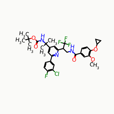 COc1cc(C(=O)NCC(c2cc(C(C)(C)NC(=O)OC(C)(C)C)cc(-c3ccc(F)c(Cl)c3)n2)C(F)(F)F)ccc1OC1CC1